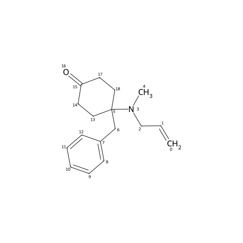 C=CCN(C)C1(Cc2ccccc2)CCC(=O)CC1